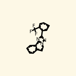 FC(F)(F)c1ccccc1-c1nc2c3ccccc3ccn2n1